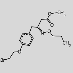 CCCON=C(CC(=O)OC)Cc1ccc(OCCBr)cc1